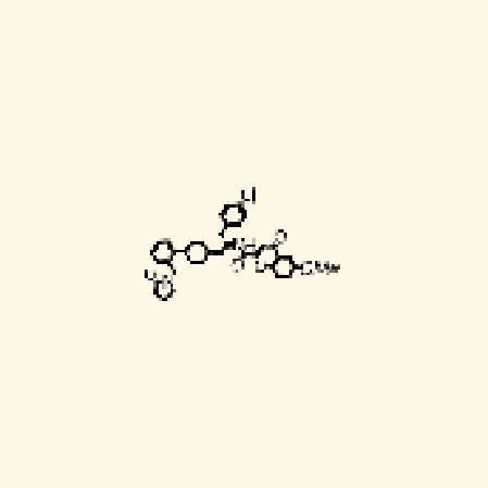 COc1ccc2oc(C(=O)N[C@@H](C=C3CCC(c4ccccc4CN4CCCC4=O)CC3)Cc3ccc(Cl)cc3)cc(=O)c2c1